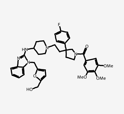 COc1cc(C(=O)N2CCC(CCN3CCC(Nc4nc5ccccc5n4Cc4ccc(CO)o4)CC3)(c3ccc(F)cc3)C2)cc(OC)c1OC